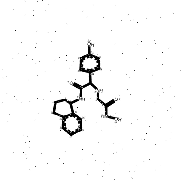 O=C(CNC(C(=O)NC1CCCc2ccccc21)c1ccc(O)cc1)NO